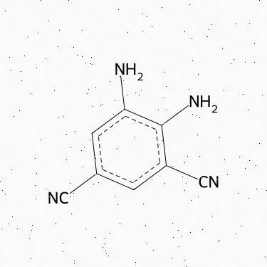 N#Cc1cc(N)c(N)c(C#N)c1